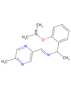 Cc1cnc(C=NC(C)c2ccccc2O[SiH](C)C)cn1